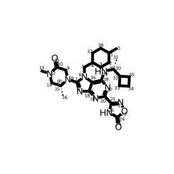 CC1CCC(Cn2c(N3CC(=O)N(C)C[C@H]3C)nc3nc(-c4noc(=O)[nH]4)nc(N[C@H](C)C4CCC4)c32)CC1